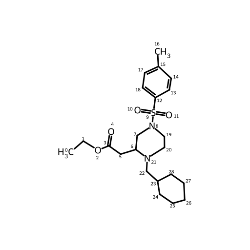 CCOC(=O)CC1CN(S(=O)(=O)c2ccc(C)cc2)CCN1CC1CCCCC1